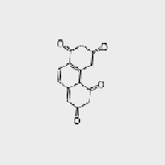 O=C1C=C2C=CC3=C(CC(=O)CC3=O)C2C(=O)C1